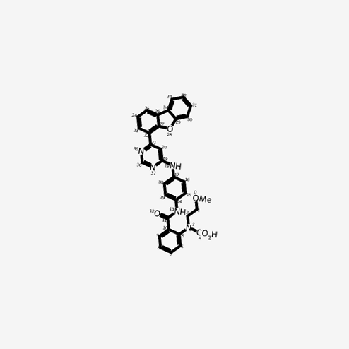 COCCN(C(=O)O)c1ccccc1C(=O)Nc1ccc(Nc2cc(-c3cccc4c3oc3ccccc34)ncn2)cc1